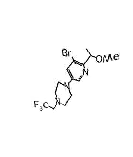 COC(C)c1ncc(N2CCN(CC(F)(F)F)CC2)cc1Br